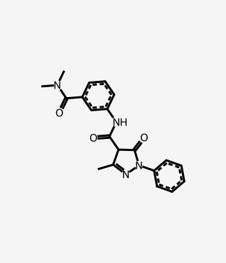 CC1=NN(c2ccccc2)C(=O)C1C(=O)Nc1cccc(C(=O)N(C)C)c1